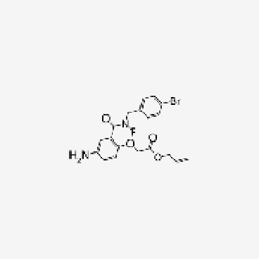 C=CCOC(=O)COc1ccc(N)cc1C(=O)N(F)Cc1ccc(Br)cc1